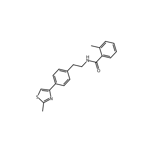 Cc1nc(-c2ccc(CCNC(=O)c3ccccc3C)cc2)cs1